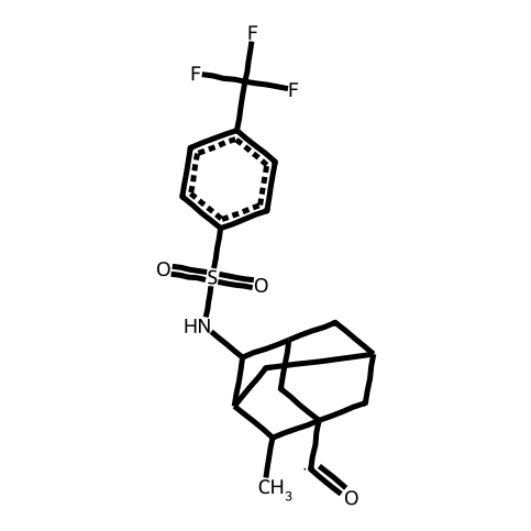 CC1C2CC3CC(CC1([C]=O)C3)C2NS(=O)(=O)c1ccc(C(F)(F)F)cc1